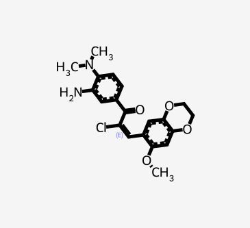 COc1cc2c(cc1/C=C(/Cl)C(=O)c1ccc(N(C)C)c(N)c1)OCCO2